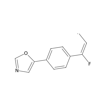 [CH2]/C=C(/F)c1ccc(-c2cnco2)cc1